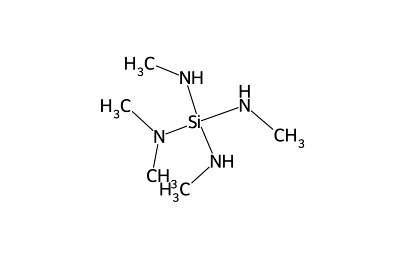 CN[Si](NC)(NC)N(C)C